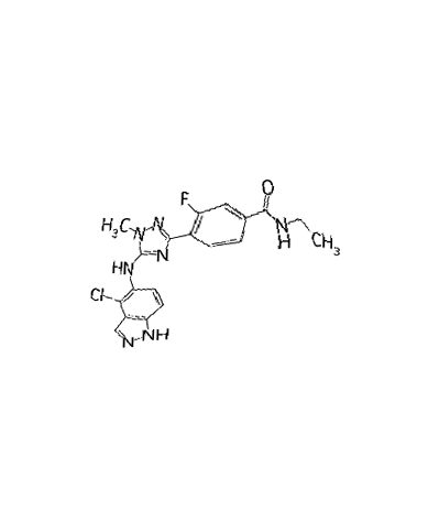 CCNC(=O)c1ccc(-c2nc(Nc3ccc4[nH]ncc4c3Cl)n(C)n2)c(F)c1